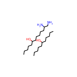 CCCCCC(O)CCCCC.CCCCCC(O)CCCCCC(N)CN